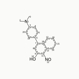 CN(C)c1ccc(-c2cc(O)c(N=O)c3ccccc23)cc1